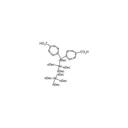 CCCCCCCCCC[N+](CCCCCCCCCC)(CCCCCCCCCC)CCCCCCCCCC.CCCCCCCCCC[N+](CCCCCCCCCC)(CCCCCCCCCC)CCCCCCCCCC.O=C(O)c1ccc(Sc2ccc(C(=O)O)cc2)cc1